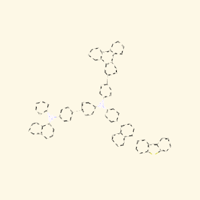 c1ccc(N(c2ccc(-c3ccc(N(c4ccc(-c5ccc6c7ccccc7c7ccccc7c6c5)cc4)c4ccc(-c5ccc(-c6ccc7sc8ccccc8c7c6)c6ccccc56)cc4)cc3)cc2)c2cccc3ccccc23)cc1